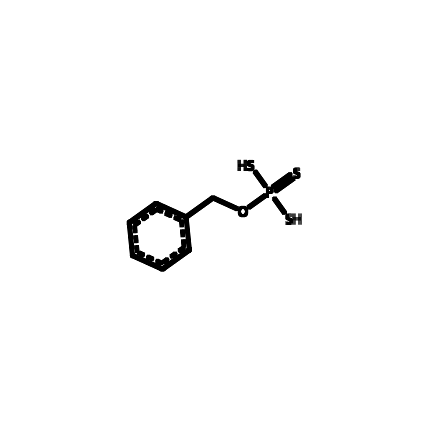 S=P(S)(S)OCc1ccccc1